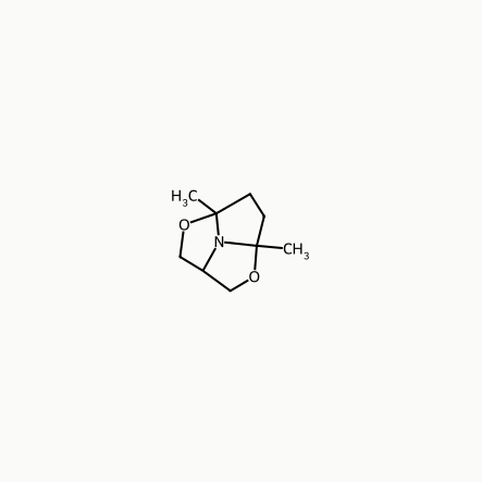 CC12CCC3(C)OCC(CO1)N23